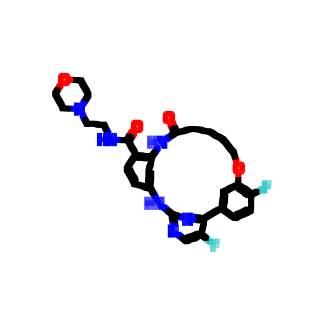 O=C1CCCCOc2cc(ccc2F)-c2nc(ncc2F)Nc2ccc(C(=O)NCCN3CCOCC3)c(c2)N1